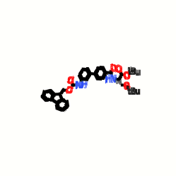 CC(C)(C)OC[C@H](NC(=O)c1ccc(-c2cccc(NC(=O)OCC3c4ccccc4-c4ccccc43)c2)cc1)C(=O)OC(C)(C)C